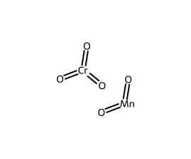 [O]=[Cr](=[O])=[O].[O]=[Mn]=[O]